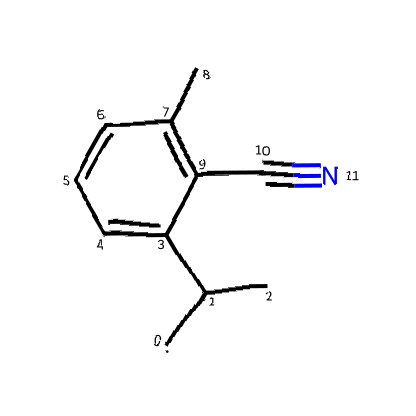 [CH2]C(C)c1cccc(C)c1C#N